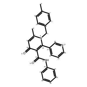 Cc1ccc(Cn2c(C)cc(=O)c(C(=O)Nc3ccccc3)c2-c2cccnc2)cc1